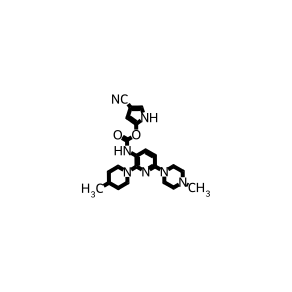 CC1CCN(c2nc(N3CCN(C)CC3)ccc2NC(=O)Oc2cc(C#N)c[nH]2)CC1